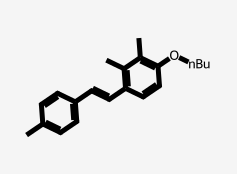 CCCCOc1ccc(C=Cc2ccc(C)cc2)c(C)c1C